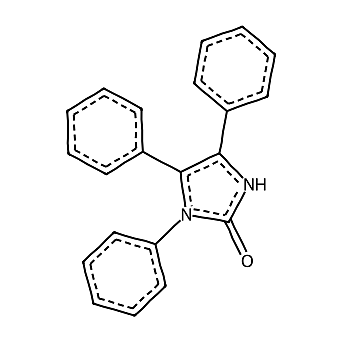 O=c1[nH]c(-c2ccccc2)c(-c2ccccc2)n1-c1ccccc1